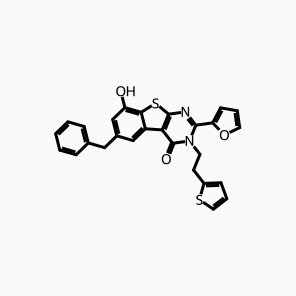 O=c1c2c(nc(-c3ccco3)n1CCc1cccs1)sc1c(O)cc(Cc3ccccc3)cc12